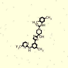 Cc1cc(Nc2nccc(C(F)(F)F)n2)cc(-c2cnc(C3(O)CCN(C(=O)Nc4cc(C)ccc4C)CC3)s2)c1